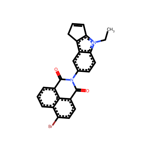 CCn1c2c(c3cc(N4C(=O)c5cccc6c(Br)ccc(c56)C4=O)ccc31)CC=C2